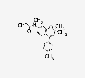 Cc1ccc(C2=CC(C)(C)Oc3cc(N(C)C(=O)CCl)ccc32)cc1